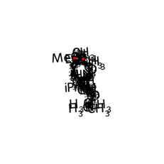 CCn1c(-c2cccnc2[C@H](C)OC)c2c3cc(ccc31)-c1csc(n1)C[C@H](NC(=O)[C@H](C(C)C)N(C)C(=O)N1C[C@@H]3CN(C(=O)C#CC(C)(C)N(C)C)CC[C@@H]31)C(=O)N1CCCC(N1)C(=O)OCC(C)(C)C2